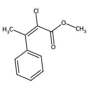 COC(=O)/C(Cl)=C(/C)c1ccccc1